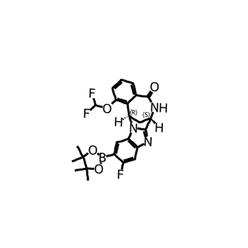 CC1(C)OB(c2cc3c(cc2F)nc2n3[C@@H]3C[C@@H]2NC(=O)c2cccc(OC(F)F)c23)OC1(C)C